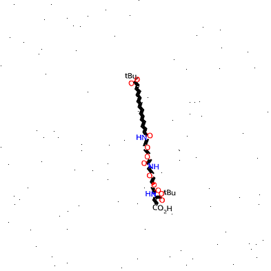 CC(C)(C)OC(=O)CCCCCCCCCCCCCCCCC(=O)NCCOCCOCC(=O)NCCOCCOCC(=O)NC(CCC(=O)O)C(=O)OC(C)(C)C